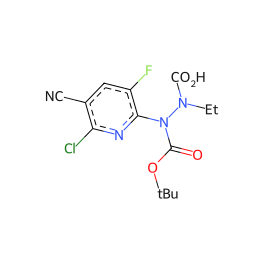 CCN(C(=O)O)N(C(=O)OC(C)(C)C)c1nc(Cl)c(C#N)cc1F